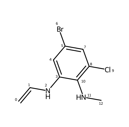 C=CNc1cc(Br)cc(Cl)c1NC